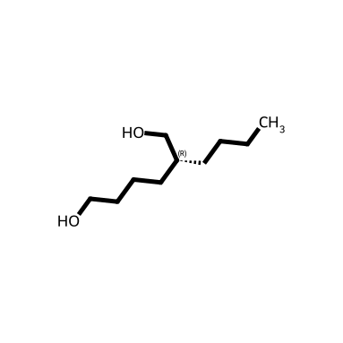 CCCC[C@@H](CO)CCCCO